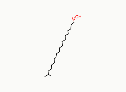 CC(C)CCCCCCCCCCCCCCCCCCOO